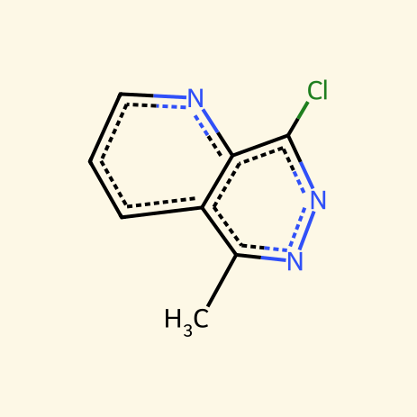 Cc1nnc(Cl)c2ncccc12